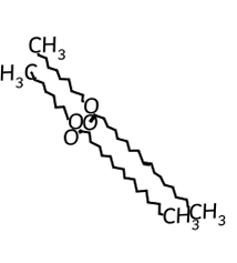 CCCCCCCCC=CCCCCCCCC(=O)OCCCCCCCCCC.CCCCCCCCCCCCCCCC(=O)OCCCCCCCC